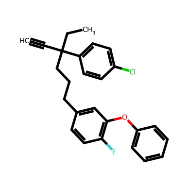 C#CC(CC)(CCCc1ccc(F)c(Oc2ccccc2)c1)c1ccc(Cl)cc1